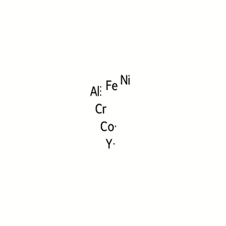 [Al].[Co].[Cr].[Fe].[Ni].[Y]